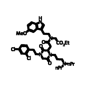 CCCN(CCC)CCCN1C(=O)CN(CCc2ccc(Cl)cc2Cl)C(=O)C1CC(=O)N(CCc1c[nH]c2ccc(OC)cc12)CC(=O)OCC